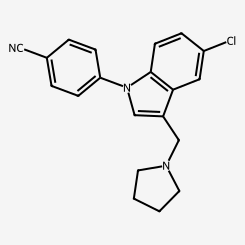 N#Cc1ccc(-n2cc(CN3CCCC3)c3cc(Cl)ccc32)cc1